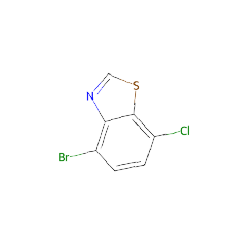 Clc1ccc(Br)c2ncsc12